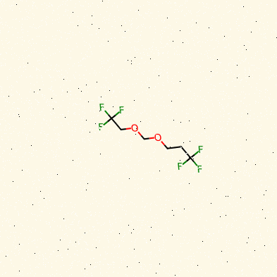 FC(F)(F)CCOCOCC(F)(F)F